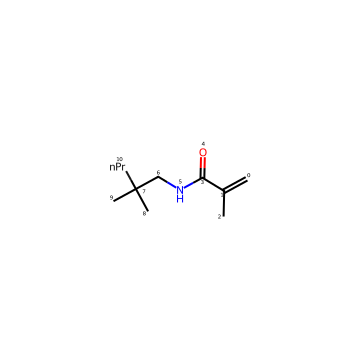 C=C(C)C(=O)NCC(C)(C)CCC